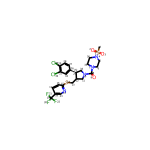 CS(=O)(=O)N1CCN(C(=O)N2CC(CSc3ccc(C(F)(F)F)cn3)[C@@H](c3ccc(Cl)c(Cl)c3)C2)CC1